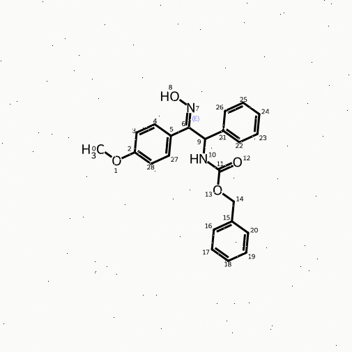 COc1ccc(/C(=N\O)C(NC(=O)OCc2ccccc2)c2ccccc2)cc1